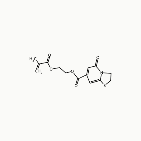 C=C(C)C(=O)OCCOC(=O)c1cc2n(c(=O)c1)CCS2